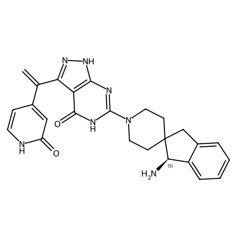 C=C(c1cc[nH]c(=O)c1)c1n[nH]c2nc(N3CCC4(CC3)Cc3ccccc3[C@H]4N)[nH]c(=O)c12